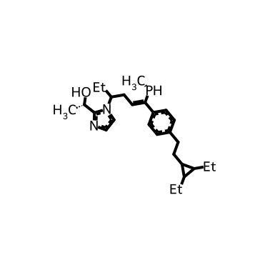 CCC1C(CC)C1CCc1ccc(/C(=C/CC(CC)n2ccnc2[C@H](C)O)PC)cc1